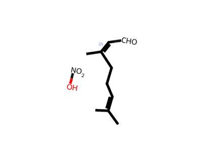 CC(C)=CCC/C(C)=C\C=O.O=[N+]([O-])O